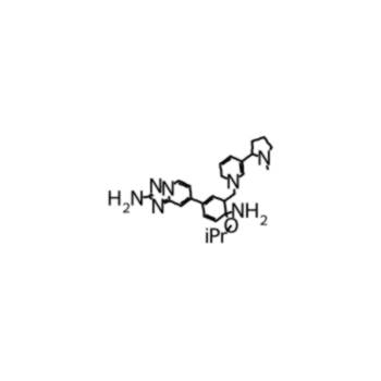 CC(C)OC1(N)C=CC(c2ccn3nc(N)nc3c2)=CC1CN1C=C(C2CCCN2C)C=CC1